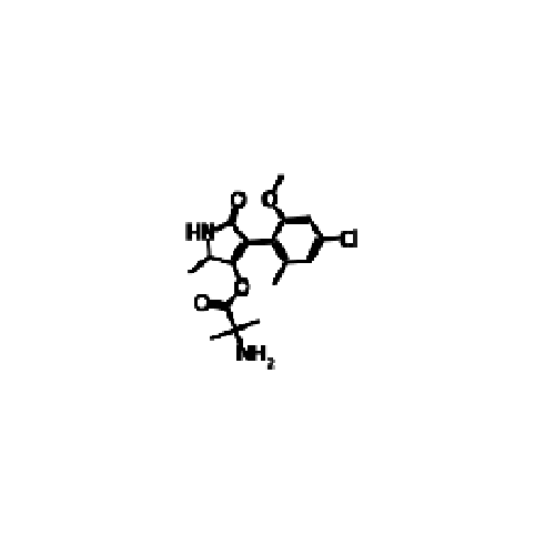 COc1cc(Cl)cc(C)c1C1=C(OC(=O)C(C)(C)N)C(C)NC1=O